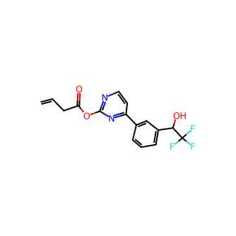 C=CCC(=O)Oc1nccc(-c2cccc(C(O)C(F)(F)F)c2)n1